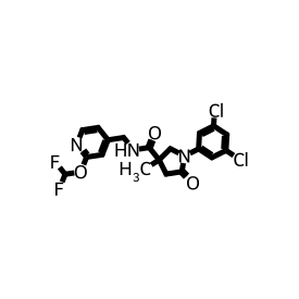 CC1(C(=O)NCc2ccnc(OC(F)F)c2)CC(=O)N(c2cc(Cl)cc(Cl)c2)C1